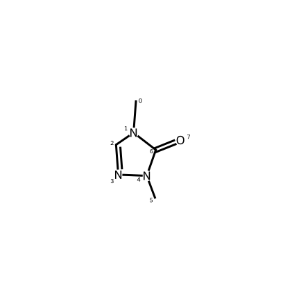 Cn1cnn(C)c1=O